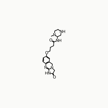 CN1CCNCC1NC(=O)CCCOc1ccc2c(c1)CN1CC(=O)NC1=N2